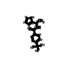 CC(NC(=O)c1ccc(C(F)(F)F)cc1)c1cccs1